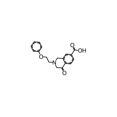 O=C(O)c1ccc2c(c1)CN(CCOc1ccccc1)CC2=O